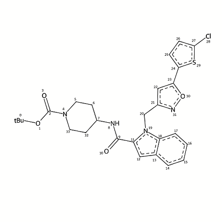 CC(C)(C)OC(=O)N1CCC(NC(=O)c2cc3ccccc3n2Cc2cc(-c3ccc(Cl)s3)on2)CC1